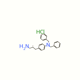 Cl.NC[CH]Cc1ccc(N(Cc2ccccc2)Cc2ccccc2)cc1